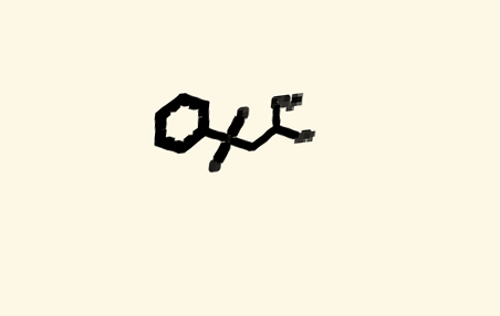 CCCC(CS(=O)(=O)c1ccccc1)C(=O)O